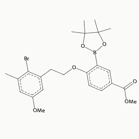 COC(=O)c1ccc(OCCc2cc(OC)cc(C)c2Br)c(B2OC(C)(C)C(C)(C)O2)c1